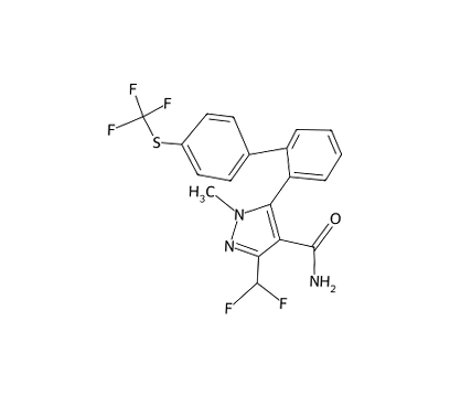 Cn1nc(C(F)F)c(C(N)=O)c1-c1ccccc1-c1ccc(SC(F)(F)F)cc1